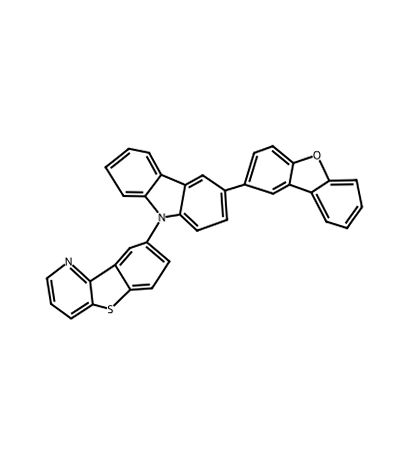 c1ccc2c(c1)oc1ccc(-c3ccc4c(c3)c3ccccc3n4-c3ccc4sc5cccnc5c4c3)cc12